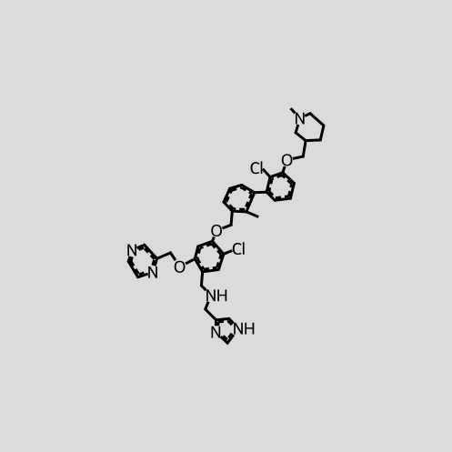 Cc1c(COc2cc(OCc3cnccn3)c(CNCc3c[nH]cn3)cc2Cl)cccc1-c1cccc(OCC2CCCN(C)C2)c1Cl